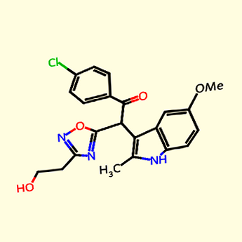 COc1ccc2[nH]c(C)c(C(C(=O)c3ccc(Cl)cc3)c3nc(CCO)no3)c2c1